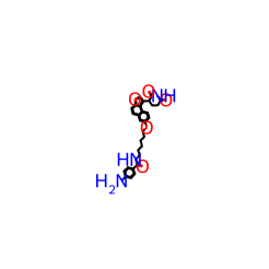 Nc1ccc(C(=O)NCCCCCCOc2ccc3c(ccc4occ(C5CCC(=O)NC5=O)c43)c2)cc1